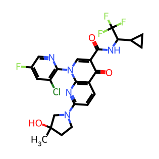 CC1(O)CCN(c2ccc3c(=O)c(C(=O)NC(C4CC4)C(F)(F)F)cn(-c4ncc(F)cc4Cl)c3n2)C1